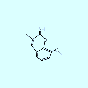 COc1cccc2cc(C)c(=N)oc12